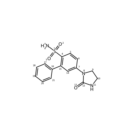 NS(=O)(=O)c1ccc(N2CCNC2=O)cc1-c1ccccc1